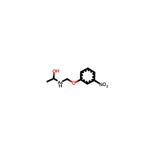 CC(O)[AsH]COc1cccc([N+](=O)[O-])c1